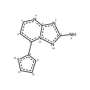 [NH]c1nc2nccc(-c3cccs3)n2n1